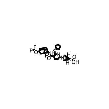 O=C(N[C@H]1C2CC3CC1C[C@](OC(F)F)(C3)C2)c1ccc(N2C[C@@H]3[C@H](C2)[C@H]3C(=O)O)nc1SC1CCCC1